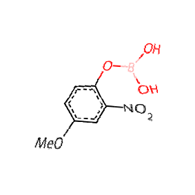 COc1ccc(OB(O)O)c([N+](=O)[O-])c1